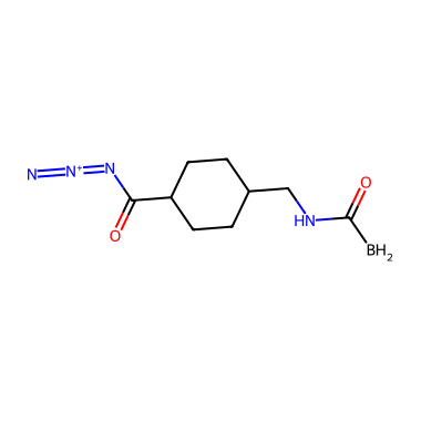 BC(=O)NCC1CCC(C(=O)N=[N+]=[N-])CC1